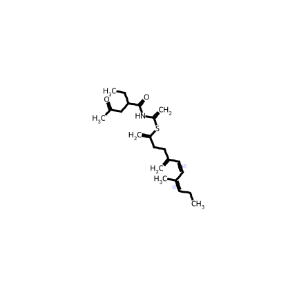 C=C(/C=C\C(C)=C/CC)CCC(=C)SC(=C)NC(=O)C(CC)CC(C)=O